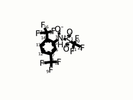 O=S(=O)([NH+]([O-])c1cc(C(F)(F)F)ccc1C(F)(F)F)C(F)(F)F